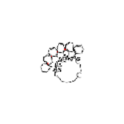 c1ccc([As]2CCCCCCCCCC[As](c3ccccc3)[As](c3ccccc3)[As](c3ccccc3)[As](c3ccccc3)[As]2c2ccccc2)cc1